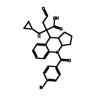 O=CCC(NC1CC1)(C(=O)O)C1c2ccccc2N(C(=O)c2ccc(Br)cc2)C2CCCC21